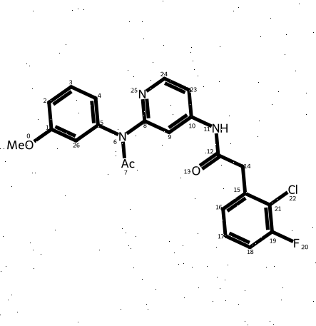 COc1cccc(N(C(C)=O)c2cc(NC(=O)Cc3cccc(F)c3Cl)ccn2)c1